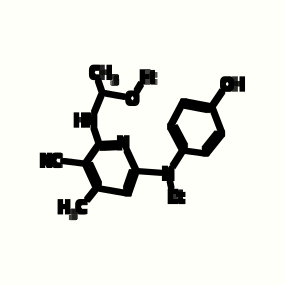 CCOC(C)Nc1nc(N(CC)c2ccc(O)cc2)cc(C)c1C#N